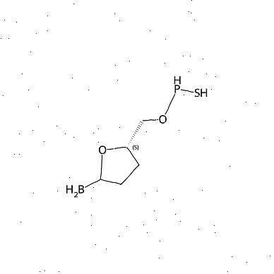 BC1CC[C@@H](COPS)O1